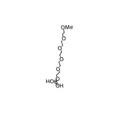 COCCOCCOCCOCCOCCOB(O)O